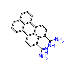 N=C(N)c1ccc2c3cccc4cccc(c5ccc(C(=N)N)c1c25)c43